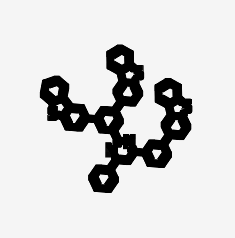 c1ccc(-c2cc(-c3cccc(-c4ccc5sc6ccccc6c5c4)c3)nc(-c3cc(-c4ccc5sc6ccccc6c5c4)cc(-c4ccc5sc6ccccc6c5c4)c3)n2)cc1